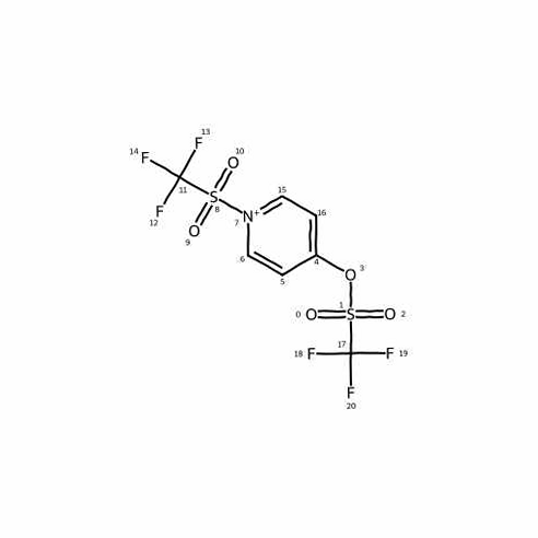 O=S(=O)(Oc1cc[n+](S(=O)(=O)C(F)(F)F)cc1)C(F)(F)F